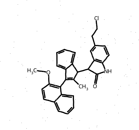 COc1ccc2ccccc2c1C1=C(C)C(C2C(=O)Nc3ccc(CCCl)cc32)c2ccccc21